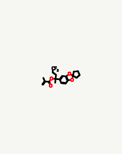 C=C(C)C(=O)OC(C)(CCC(F)(F)F)c1ccc2c(c1)OC1(CCCC1)O2